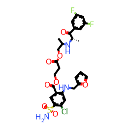 CC(COC(=O)CCOC(=O)c1cc(S(N)(=O)=O)c(Cl)cc1NCc1ccco1)N[C@@H](C)C(=O)c1cc(F)cc(F)c1